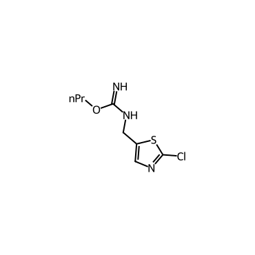 CCCOC(=N)NCc1cnc(Cl)s1